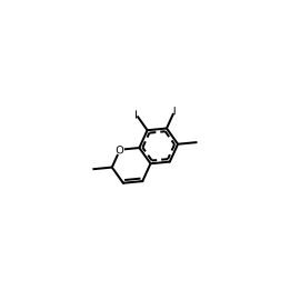 Cc1cc2c(c(I)c1I)OC(C)C=C2